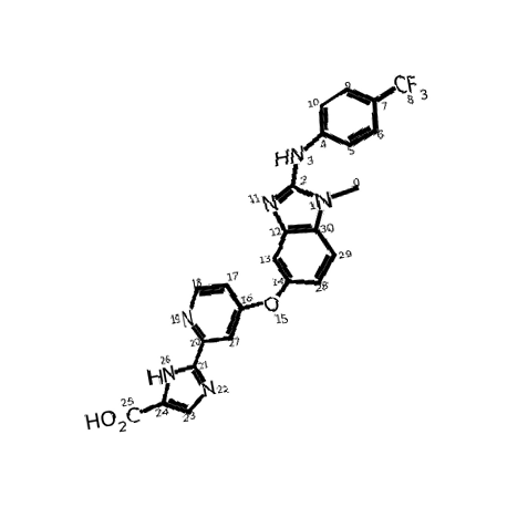 Cn1c(Nc2ccc(C(F)(F)F)cc2)nc2cc(Oc3ccnc(-c4ncc(C(=O)O)[nH]4)c3)ccc21